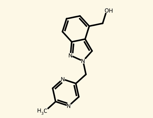 Cc1cnc(Cn2cc3c(CO)cccc3n2)cn1